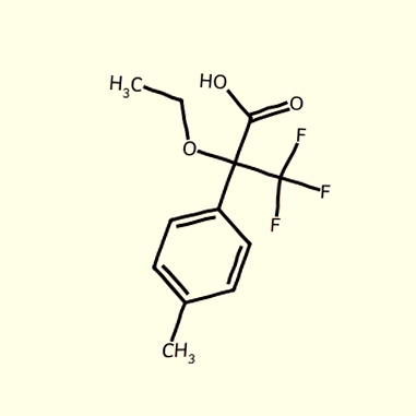 CCOC(C(=O)O)(c1ccc(C)cc1)C(F)(F)F